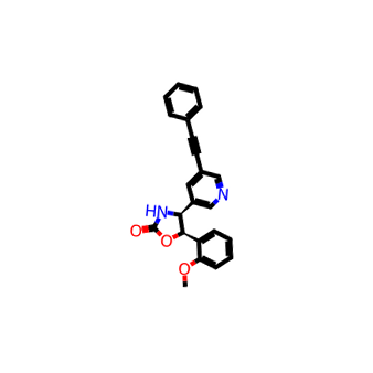 COc1ccccc1[C@H]1OC(=O)N[C@H]1c1cncc(C#Cc2ccccc2)c1